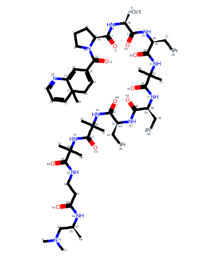 CCCCCCCC[C@H](NC(=O)[C@@H]1CCCN1C(=O)C1=CCC2(C)C=CC=NC2=C1)C(=O)N[C@@H](CC(C)C)C(=O)NC(C)(C)C(=O)N[C@@H](CC(C)C)C(=O)N[C@@H](CC(C)C)C(=O)NC(C)(C)C(=O)NC(C)(C)C(=O)NCCC(=O)N[C@@H](C)CN(C)C